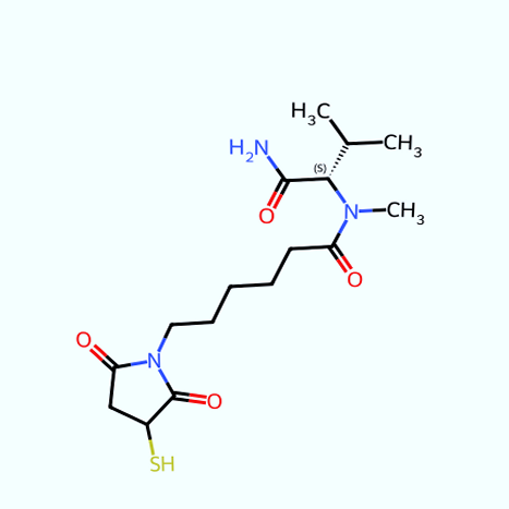 CC(C)[C@@H](C(N)=O)N(C)C(=O)CCCCCN1C(=O)CC(S)C1=O